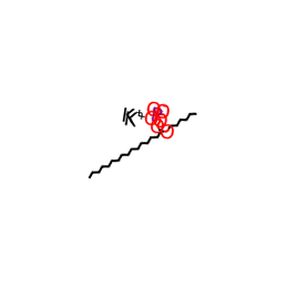 CCCCCCCCCCCCCCCC(OCCCCCC)OOP(=O)([O-])[O-].[K+].[K+]